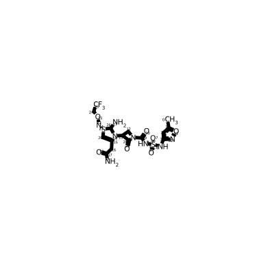 Cc1cc(NS(=O)(=O)NC(=O)N2CC(N3C(CC(N)=O)=C/S(=N/OCC(F)(F)F)C3N)C2=O)no1